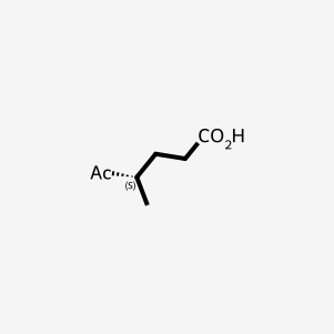 CC(=O)[C@@H](C)CCC(=O)O